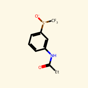 CCC(=O)Nc1cccc([S+]([O-])C(F)(F)F)c1